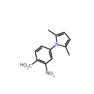 Cc1ccc(C)n1-c1ccc(C(=O)O)c([N+](=O)[O-])c1